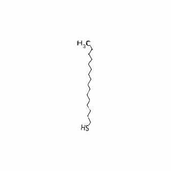 CCCCCCCCCCCCCCCCS